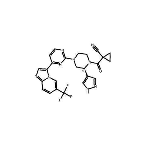 N#CC1(C(=O)N2CCN(c3nccc(-c4cnc5ccc(C(F)(F)F)cn45)n3)C[C@@H]2c2cn[nH]c2)CC1